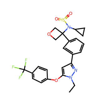 CCn1nc(-c2cccc(C3(N(C4CC4)[SH](=O)=O)COC3)c2)cc1Oc1ccc(C(F)(F)F)cc1